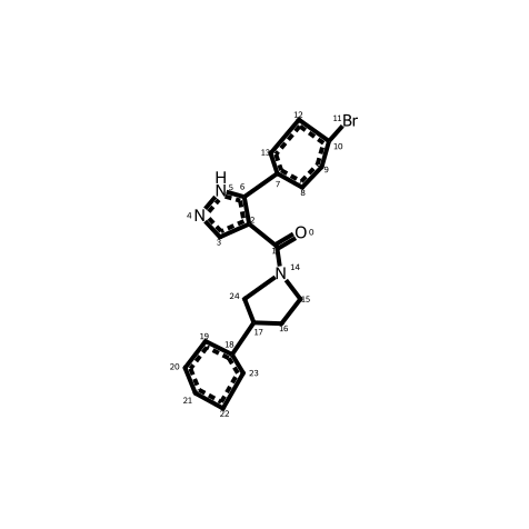 O=C(c1cn[nH]c1-c1ccc(Br)cc1)N1CCC(c2ccccc2)C1